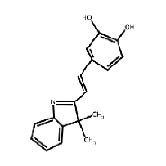 CC1(C)C(/C=C/c2ccc(O)c(O)c2)=Nc2ccccc21